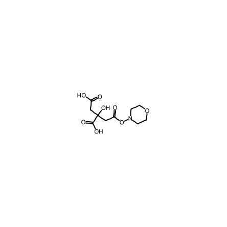 O=C(O)CC(O)(CC(=O)ON1CCOCC1)C(=O)O